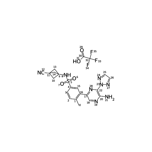 Cc1ccc(S(=O)(=O)NC23CC(C#N)(C2)C3)cc1-c1cnc(N)c(-n2nccn2)n1.O=C(O)C(F)(F)F